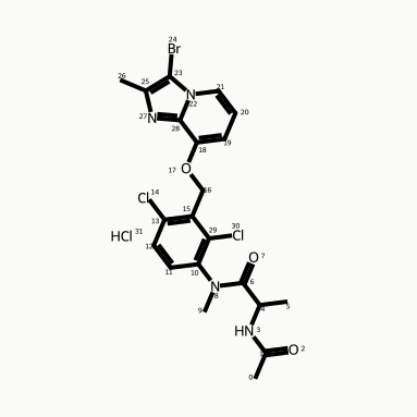 CC(=O)NC(C)C(=O)N(C)c1ccc(Cl)c(COc2cccn3c(Br)c(C)nc23)c1Cl.Cl